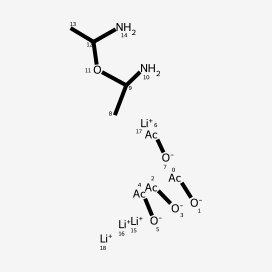 CC(=O)[O-].CC(=O)[O-].CC(=O)[O-].CC(=O)[O-].CC(N)OC(C)N.[Li+].[Li+].[Li+].[Li+]